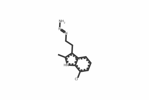 Cc1[nH]c2c(Cl)cccc2c1CCN=NN